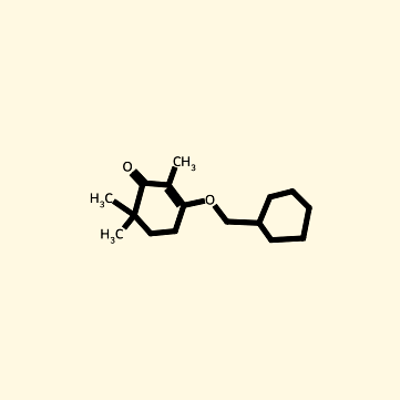 CC1=C(OCC2CCCCC2)CCC(C)(C)C1=O